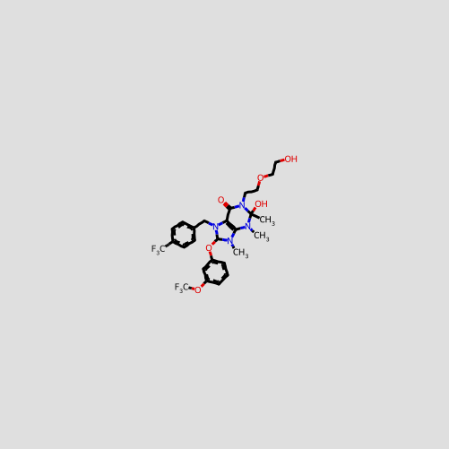 CN1C2=C(C(=O)N(CCOCCO)C(C)(O)N2C)N(Cc2ccc(C(F)(F)F)cc2)C1Oc1cccc(OC(F)(F)F)c1